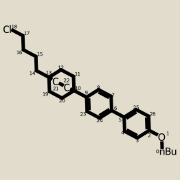 CCCCOc1ccc(-c2ccc(C34CCC(CCCCCl)(CC3)CC4)cc2)cc1